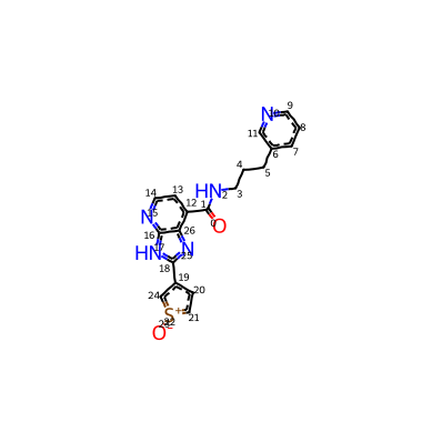 O=C(NCCCc1cccnc1)c1ccnc2[nH]c(-c3cc[s+]([O-])c3)nc12